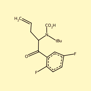 C=CCC(C(=O)c1cc(F)ccc1F)N(C(=O)O)C(C)(C)C